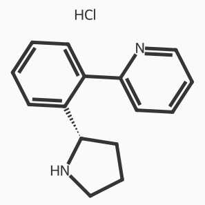 Cl.c1ccc(-c2ccccc2[C@@H]2CCCN2)nc1